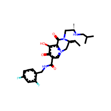 C/C=C1\Cn2cc(C(=O)NCc3ccc(F)cc3F)c(=O)c(O)c2C(=O)N1C[C@H](C)NCC(C)C